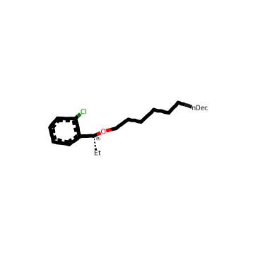 [CH2]C[C@@H](OCCCCCCCCCCCCCCCC)c1ccccc1Cl